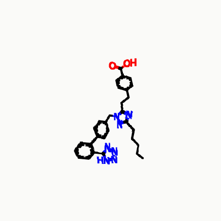 CCCCCc1nc(CCc2ccc(C(=O)O)cc2)n(Cc2ccc(-c3ccccc3-c3nnn[nH]3)cc2)n1